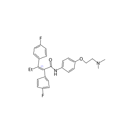 CC/C(=C(/C(=O)Nc1ccc(OCCN(C)C)cc1)c1ccc(F)cc1)c1ccc(F)cc1